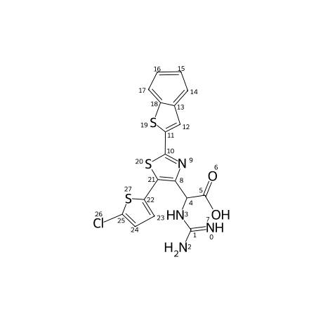 N=C(N)NC(C(=O)O)c1nc(-c2cc3ccccc3s2)sc1-c1ccc(Cl)s1